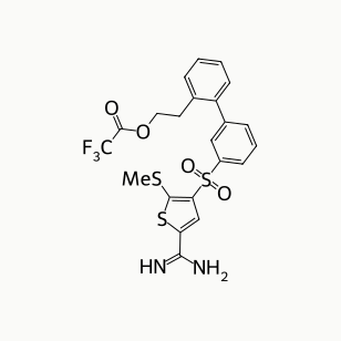 CSc1sc(C(=N)N)cc1S(=O)(=O)c1cccc(-c2ccccc2CCOC(=O)C(F)(F)F)c1